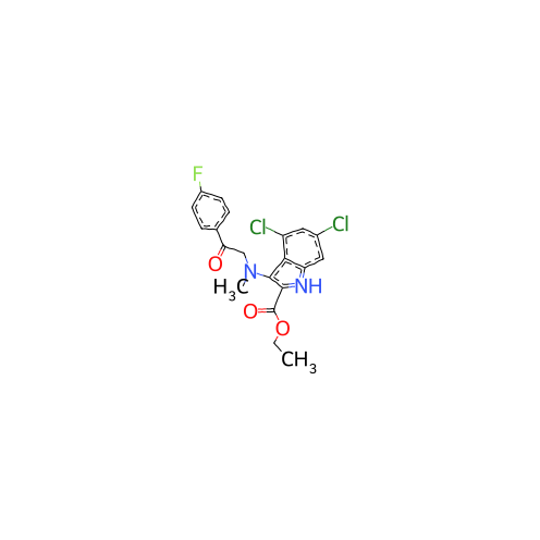 CCOC(=O)c1[nH]c2cc(Cl)cc(Cl)c2c1N(C)CC(=O)c1ccc(F)cc1